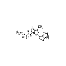 Cc1cc(-c2cccc3ncoc23)nn2c(C(=O)NC(C)C(F)(F)F)cnc12